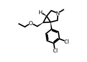 CCOC[C@H]1[C@@H]2CN(C)C[C@]12c1ccc(Cl)c(Cl)c1